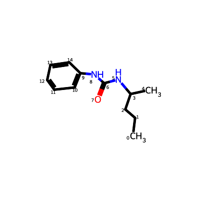 CCCC(C)NC(=O)Nc1ccccc1